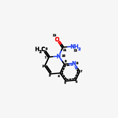 C=C1C=Cc2cccnc2N1C(N)=O